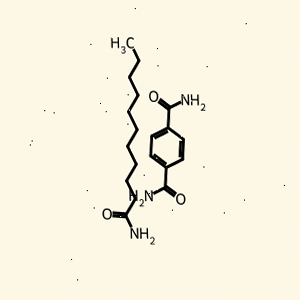 CCCCCCCCCCC(N)=O.NC(=O)c1ccc(C(N)=O)cc1